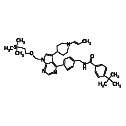 CC=CN1CCC(c2cn(COCC[Si](C)(C)C)c3ncnc(-c4ccc(CNC(=O)c5ccc(C(C)(C)C)cc5)cc4)c23)CC1